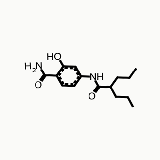 CCCC(CCC)C(=O)Nc1ccc(C(N)=O)c(O)c1